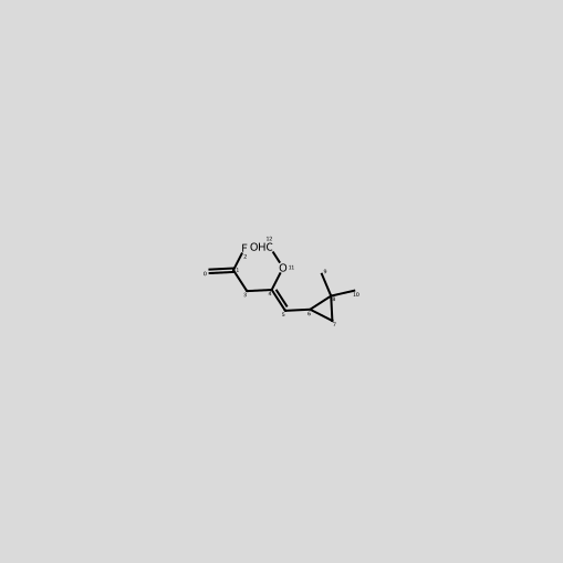 C=C(F)CC(=CC1CC1(C)C)OC=O